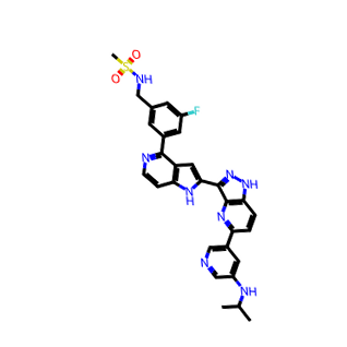 CC(C)Nc1cncc(-c2ccc3[nH]nc(-c4cc5c(-c6cc(F)cc(CNS(C)(=O)=O)c6)nccc5[nH]4)c3n2)c1